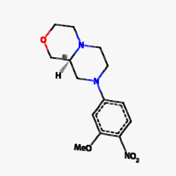 COc1cc(N2CCN3CCOC[C@@H]3C2)ccc1[N+](=O)[O-]